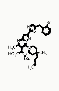 C=CCCC1(C)CCN(c2c(C(OC(C)(C)C)C(=O)O)c(C)nc3cc(-c4ncc(Cc5ccccc5Br)s4)nn23)CC1